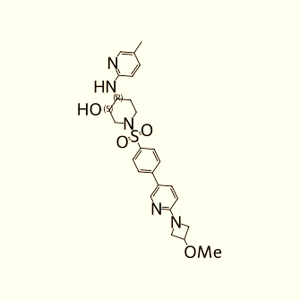 COC1CN(c2ccc(-c3ccc(S(=O)(=O)N4CC[C@@H](Nc5ccc(C)cn5)[C@@H](O)C4)cc3)cn2)C1